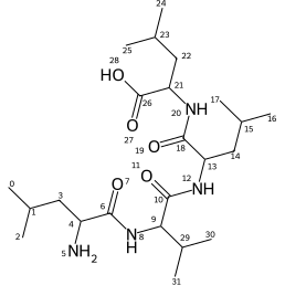 CC(C)CC(N)C(=O)NC(C(=O)NC(CC(C)C)C(=O)NC(CC(C)C)C(=O)O)C(C)C